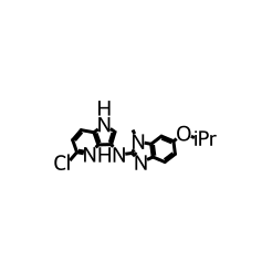 CC(C)Oc1ccc2nc(Nc3c[nH]c4ccc(Cl)nc34)n(C)c2c1